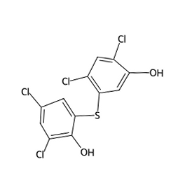 Oc1cc(Sc2cc(Cl)cc(Cl)c2O)c(Cl)cc1Cl